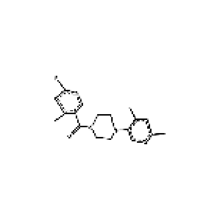 Cc1ccc(N2CCN(C(=O)c3cnc(F)cc3C)CC2)c(C)c1